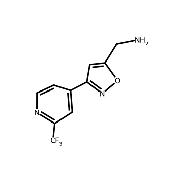 NCc1cc(-c2ccnc(C(F)(F)F)c2)no1